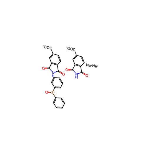 O=C([O-])c1ccc2c(c1)C(=O)NC2=O.O=C([O-])c1ccc2c(c1)C(=O)NC2=O.[Na+].[Na+].[O-][S+](c1ccccc1)c1ccccc1